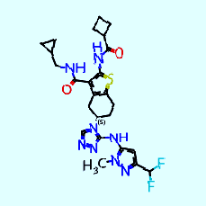 Cn1nc(C(F)F)cc1Nc1nncn1[C@H]1CCc2sc(NC(=O)C3CCC3)c(C(=O)NCC3CC3)c2C1